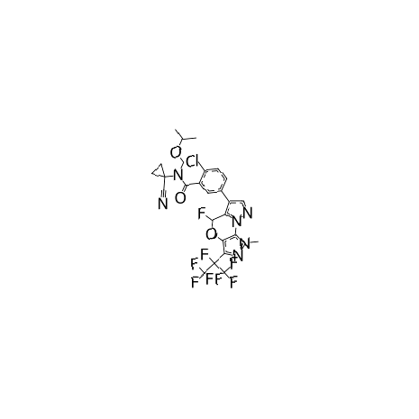 CC(C)OCN(C(=O)c1cc(-c2cnn3c2C(F)Oc2c(C(F)(C(F)(F)F)C(F)(F)F)nn(C)c2-3)ccc1Cl)C1(C#N)CC1